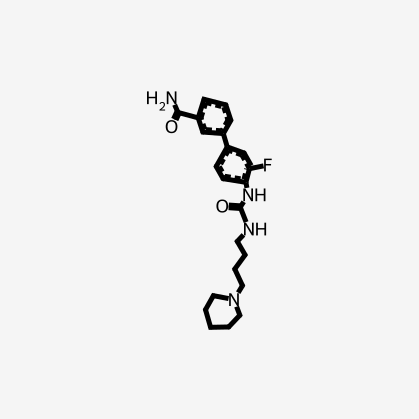 NC(=O)c1cccc(-c2ccc(NC(=O)NCCCCN3CCCCC3)c(F)c2)c1